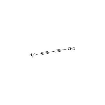 CC#CC#CC=O